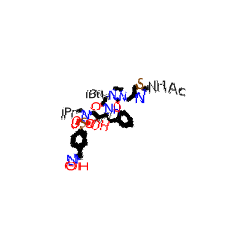 CC[C@H](C)[C@@H](C(=O)N[C@@H](Cc1ccccc1)[C@@H](O)CN(CC(C)C)S(=O)(=O)c1ccc(C=NO)cc1)N1CCN(Cc2csc(NC(C)=O)n2)C1=O